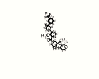 COC1COCCC1NC1CCN(C(=O)c2ncnc(N3CC4CC4(c4cccc(C(F)(F)F)c4)C3)c2C)CC1